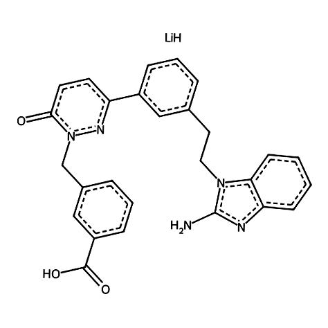 Nc1nc2ccccc2n1CCc1cccc(-c2ccc(=O)n(Cc3cccc(C(=O)O)c3)n2)c1.[LiH]